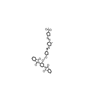 Cc1cc(N=Nc2ccc(OCCOc3cc(N4C(=O)c5ccccc5C4=O)ccc3N3C(=O)c4ccccc4C3=O)cc2)ccc1N=Nc1ccc(S(C)(=O)=O)cc1